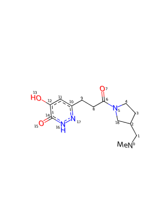 CNCC1CCN(C(=O)CCc2cc(O)c(=O)[nH]n2)C1